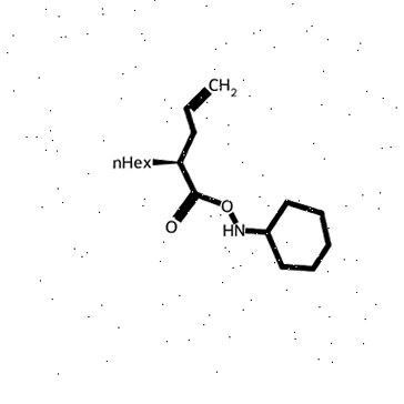 C=CC[C@H](CCCCCC)C(=O)ONC1CCCCC1